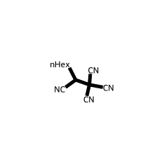 CCCCCCC(C#N)C(C#N)(C#N)C#N